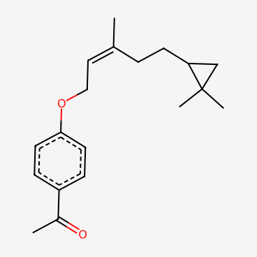 CC(=O)c1ccc(OCC=C(C)CCC2CC2(C)C)cc1